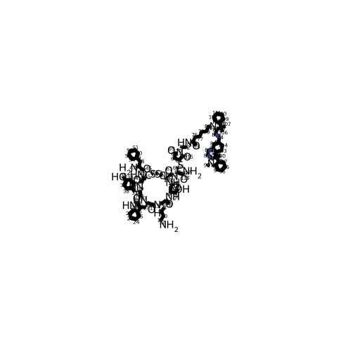 C[C@@H](O)[C@@H]1NC(=O)[C@H](CCCCN)NC(=O)[C@@H](Cc2c[nH]c3ccccc23)NC(=O)[C@H](Cc2ccc(O)cc2)NC(=O)[C@@H](NC(=O)[C@H](N)Cc2ccccc2)CSSC[C@@H](C(=O)N[C@@H](CSC2CC(=O)N(CCNC(=O)CCCCC[N+]3=C(/C=C/C4=CC(=C/C=C5/N(C)c6ccccc6C5(C)C)/CCC4)C(C)(C)c4ccccc43)C2=O)C(N)=O)NC1=O